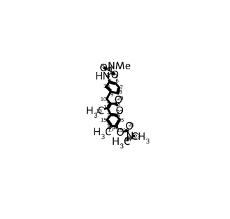 CNS(=O)(=O)Nc1cccc(Cc2c(C)c3cc(C)c(OC(=O)N(C)C)cc3oc2=O)c1